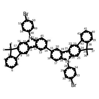 CC1(C)c2ccccc2-c2cc3c4cc(-c5ccc6c(c5)c5cc7c(cc5n6-c5ccc(Br)cc5)C(C)(C)c5ccccc5-7)ccc4n(-c4ccc(Br)cc4)c3cc21